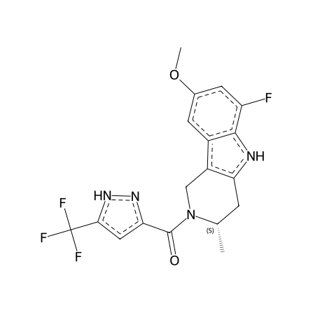 COc1cc(F)c2[nH]c3c(c2c1)CN(C(=O)c1cc(C(F)(F)F)[nH]n1)[C@@H](C)C3